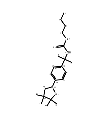 CCCCOC(=O)NC(C)(C)c1ccc(B2OC(C)(C)C(C)(C)O2)cc1